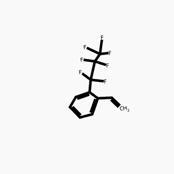 C=Cc1ccccc1C(F)(F)C(F)(F)C(F)(F)F